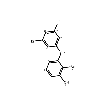 CC(=O)c1c(O)cccc1Oc1cc(Br)cc(Br)c1